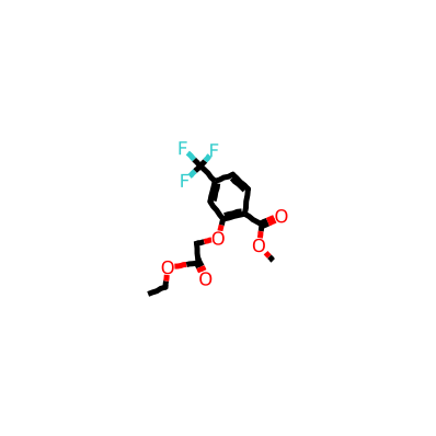 CCOC(=O)COc1cc(C(F)(F)F)ccc1C(=O)OC